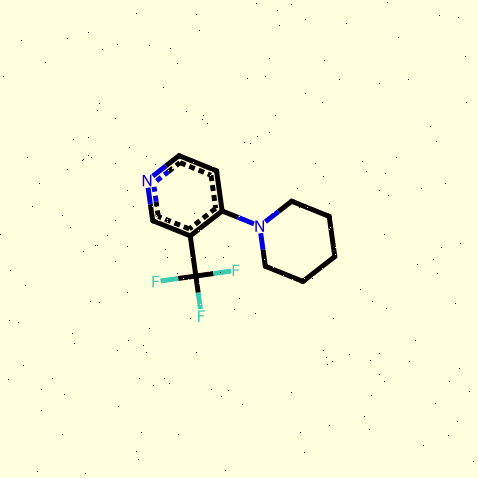 FC(F)(F)c1cnccc1N1CCCCC1